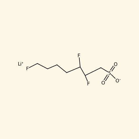 O=S(=O)([O-])CC(F)C(F)CCCCF.[Li+]